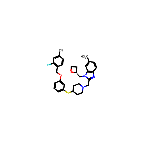 N#Cc1ccc(COc2cccc(SC3CCN(Cc4nc5ccc(C(=O)O)cc5n4C[C@@H]4CCO4)CC3)c2)c(F)c1